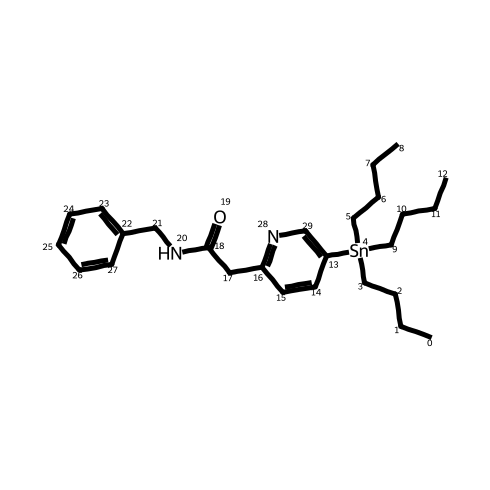 CCC[CH2][Sn]([CH2]CCC)([CH2]CCC)[c]1ccc(CC(=O)NCc2ccccc2)nc1